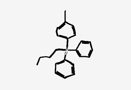 CCCC[PH](c1ccccc1)(c1ccccc1)c1ccc(C)cc1